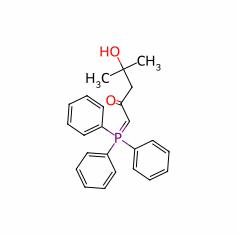 CC(C)(O)CC(=O)C=P(c1ccccc1)(c1ccccc1)c1ccccc1